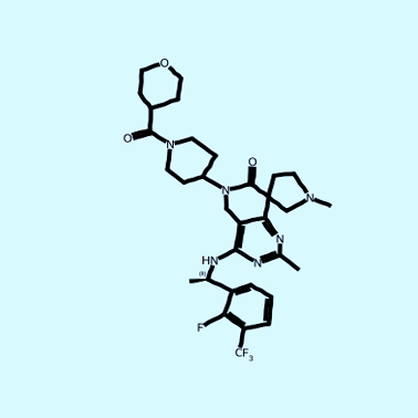 Cc1nc(N[C@H](C)c2cccc(C(F)(F)F)c2F)c2c(n1)C1(CCN(C)C1)C(=O)N(C1CCN(C(=O)C3CCOCC3)CC1)C2